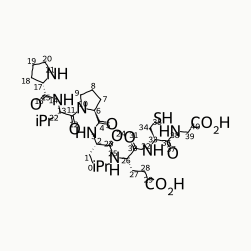 CC(C)C[C@H](NC(=O)[C@@H]1CCCN1C(=O)[C@@H](NC(=O)[C@@H]1CCCN1)C(C)C)C(=O)N[C@@H](CCC(=O)O)C(=O)N[C@@H](CS)C(=O)NCC(=O)O